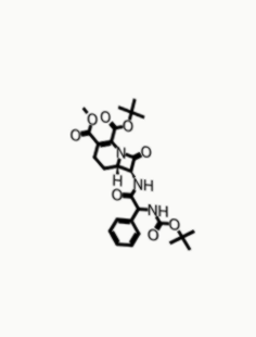 COC(=O)C1=C(C(=O)OC(C)(C)C)N2C(=O)[C@@H](NC(=O)C(NC(=O)OC(C)(C)C)c3ccccc3)[C@@H]2CC1